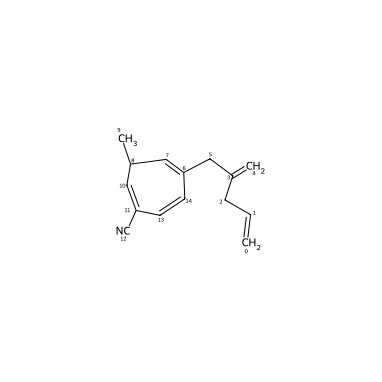 C=CCC(=C)CC1=CC(C)C=C(C#N)C=C1